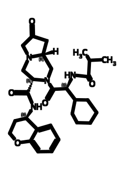 CC(C)C(=O)N[C@H](C(=O)N1C[C@H]2CC(=O)CN2C[C@H]1C(=O)N[C@@H]1CCOc2ccccc21)C1CCCCC1